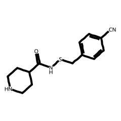 N#Cc1ccc(CSNC(=O)C2CCNCC2)cc1